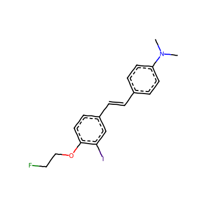 CN(C)c1ccc(/C=C/c2ccc(OCCF)c(I)c2)cc1